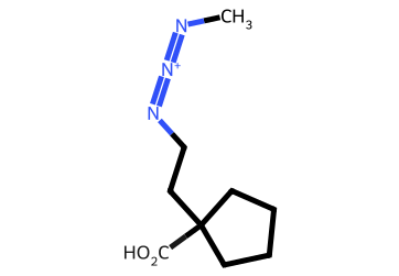 CN=[N+]=NCCC1(C(=O)O)CCCC1